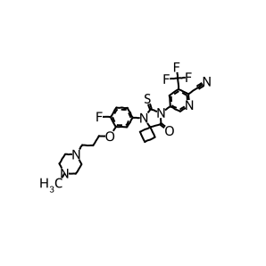 CN1CCN(CCCOc2cc(N3C(=S)N(c4cnc(C#N)c(C(F)(F)F)c4)C(=O)C34CCC4)ccc2F)CC1